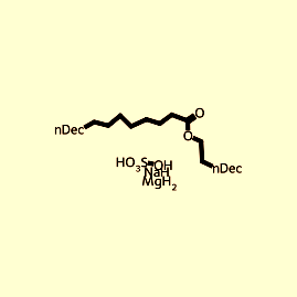 CCCCCCCCCCCCCCCCCC(=O)OCCCCCCCCCCCC.O=S(=O)(O)O.[MgH2].[NaH]